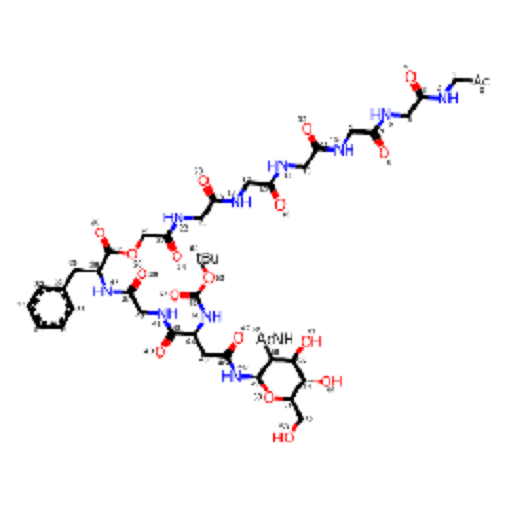 CC(=O)CNC(=O)CNC(=O)CNC(=O)CNC(=O)CNC(=O)CNC(=O)COC(=O)[C@H](Cc1ccccc1)NC(=O)CNC(=O)C(CC(=O)N[C@@H]1OC(CO)[C@@H](O)C(O)C1NC(C)=O)NC(=O)OC(C)(C)C